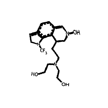 OCCN(CCO)CCC1CN(O)C=c2ccc3c(c21)N(C(F)(F)F)CC=3